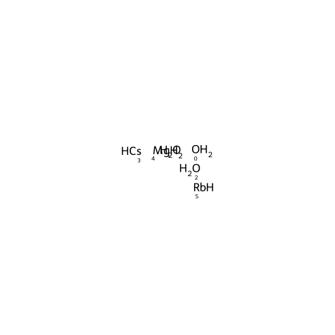 O.O.O.[CsH].[MgH2].[RbH]